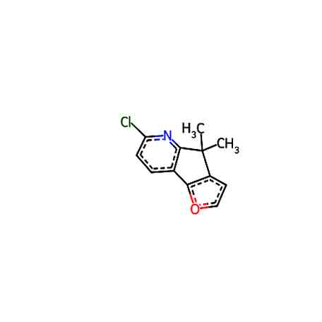 CC1(C)c2ccoc2-c2ccc(Cl)nc21